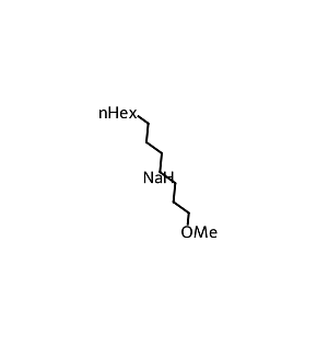 CCCCCCCCCCCCCOC.[NaH]